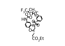 CCOC(=O)CC[C@H]1CN(S(=O)(=O)c2cccc(C(F)(F)F)c2)c2cc(NC(=O)OC(C)(C)C(F)(F)F)ccc2O1